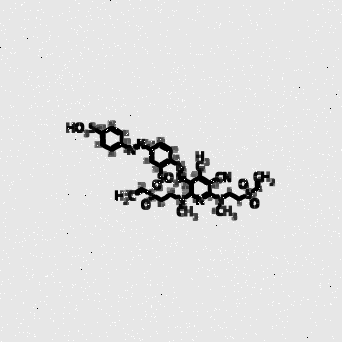 C=CS(=O)(=O)CCN(C)c1nc(N(C)CCS(=O)(=O)C=C)c(/N=N/c2ccc(/N=N/c3ccc(S(=O)(=O)O)cc3)cc2S(=O)(=O)O)c(C)c1C#N